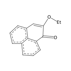 CCOC1=Cc2cccc3cccc(c23)C1=O